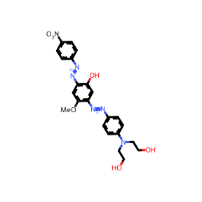 COc1cc(/N=N/c2ccc([N+](=O)[O-])cc2)c(O)cc1/N=N/c1ccc(N(CCO)CCO)cc1